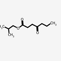 CCCC(=O)CCC(=O)OCC(C)C